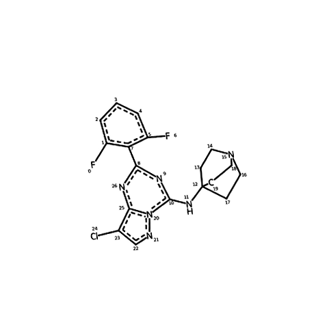 Fc1cccc(F)c1-c1nc(NC23CCN(CC2)CC3)n2ncc(Cl)c2n1